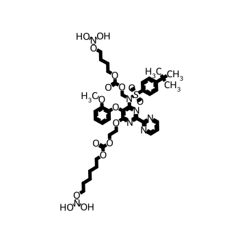 COc1ccccc1Oc1c(OCCOC(=O)OCCCCCCON(O)O)nc(-c2ncccn2)nc1N(COC(=O)OCCCCON(O)O)S(=O)(=O)c1ccc(C(C)(C)C)cc1